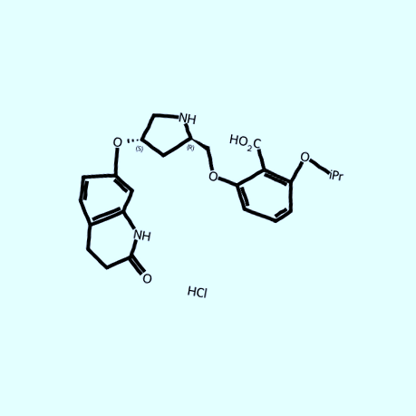 CC(C)Oc1cccc(OC[C@H]2C[C@H](Oc3ccc4c(c3)NC(=O)CC4)CN2)c1C(=O)O.Cl